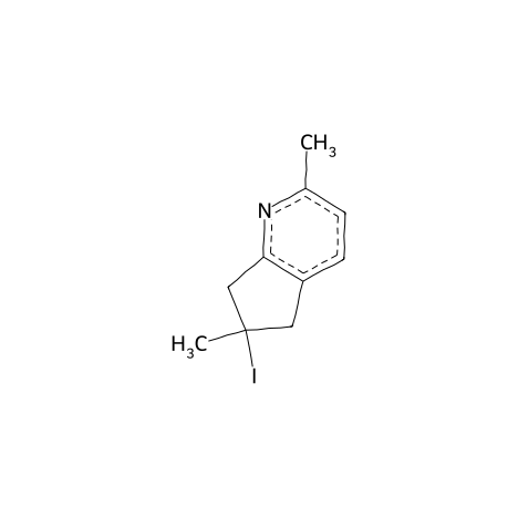 Cc1ccc2c(n1)CC(C)(I)C2